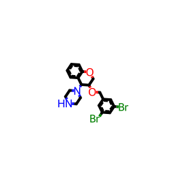 Brc1cc(Br)cc(COC2COc3ccccc3C2N2CCNCC2)c1